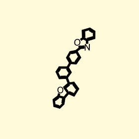 c1cc(-c2ccc(-c3nc4ccccc4o3)cc2)cc(-c2cccc3c2oc2ccccc23)c1